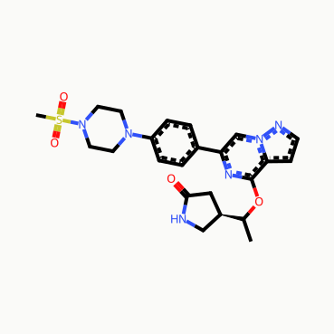 CC(Oc1nc(-c2ccc(N3CCN(S(C)(=O)=O)CC3)cc2)cn2nccc12)[C@H]1CNC(=O)C1